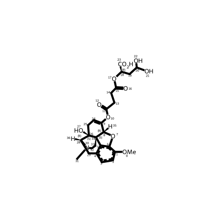 COc1ccc2c3c1O[C@H]1C(OC(=O)CCC(=O)O[C@H](CC(O)O)C(=O)O)=CC[C@@]4(O)[C@@H](C2)N(C)CC[C@]314